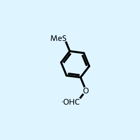 CSc1ccc(O[C]=O)cc1